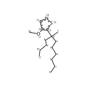 CCCCCCC(C)(CCCC)c1sncc1OC